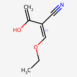 C=C(O)/C(C#N)=C\OCC